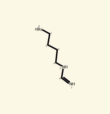 CCCCCCCCN[C]=N